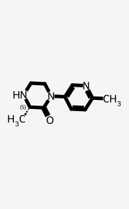 Cc1ccc(N2CCN[C@@H](C)C2=O)cn1